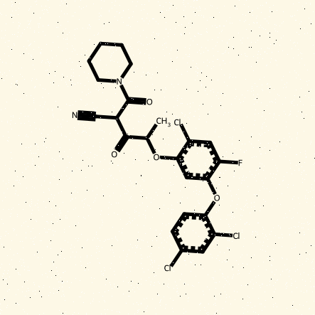 CC(Oc1cc(Oc2ccc(Cl)cc2Cl)c(F)cc1Cl)C(=O)C(C#N)C(=O)N1CCCCC1